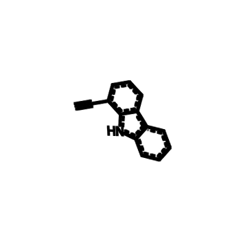 C#Cc1cccc2c1[nH]c1ccccc12